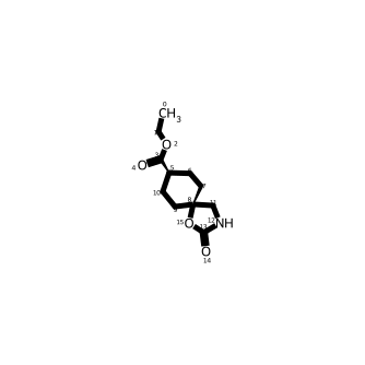 CCOC(=O)[C@H]1CC[C@@]2(CC1)CNC(=O)O2